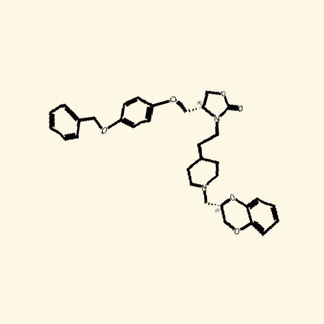 O=C1OC[C@@H](COc2ccc(OCc3ccccc3)cc2)N1CCC1CCN(C[C@H]2COc3ccccc3O2)CC1